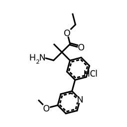 CCOC(=O)C(C)(CN)c1cccc(-c2cc(OC)ccn2)c1.Cl